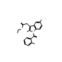 COc1ccc2c(c1)c(CC(=O)OCCl)c(C)n2C(=O)c1ccccc1Cl